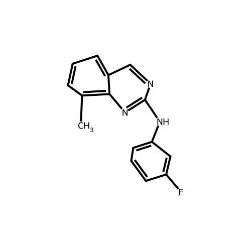 Cc1cccc2cnc(Nc3cccc(F)c3)nc12